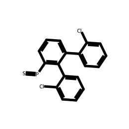 S=Pc1cccc(-c2ccccc2Cl)c1-c1ccccc1Cl